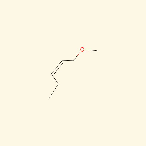 CC/C=C\COC